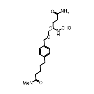 CNC(=O)CCCCc1ccc(COC[C@H](CCC(N)=O)NC=O)cc1